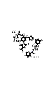 C/C(=N\NC(=O)Nc1cc(F)cc(F)c1)c1ncccc1C(=O)O.CC(C)=C1OC(=O)N(c2cc(OC3CCCC3)c(Cl)cc2F)C1=O.CP(=O)(O)CCC(N)C(=O)O